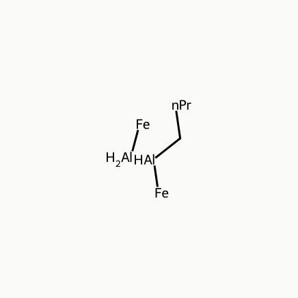 CCC[CH2][AlH][Fe].[AlH2][Fe]